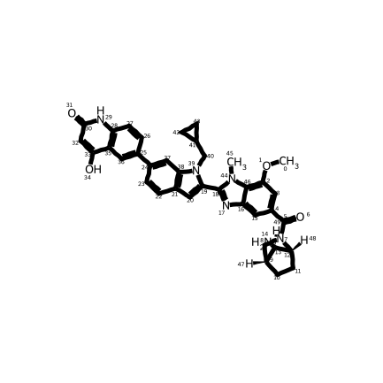 COc1cc(C(=O)N2C[C@H]3CC[C@@H]2[C@@H]3N)cc2nc(-c3cc4ccc(-c5ccc6[nH]c(=O)cc(O)c6c5)cc4n3CC3CC3)n(C)c12